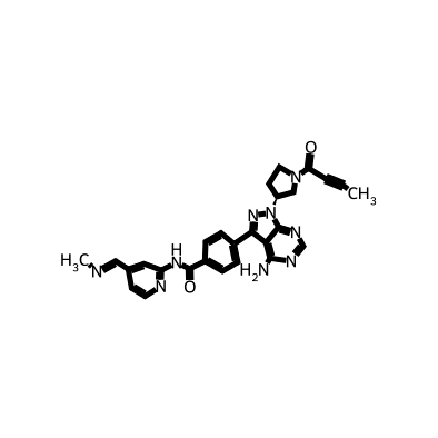 CC#CC(=O)N1CC[C@@H](n2nc(-c3ccc(C(=O)Nc4cc(/C=N/C)ccn4)cc3)c3c(N)ncnc32)C1